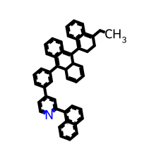 CCC1=c2ccccc2=C(C2=c3ccccc3=C(c3cccc(-c4ccnc(-c5cccc6ccccc56)c4)c3)C3C=CC=CC23)CC1